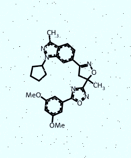 COc1cc(OC)cc(-c2nc(C3(C)CC(c4ccc5c(C)nn(C6CCCC6)c5c4)=NO3)no2)c1